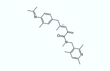 C=C(/C=C(\C)Cc1ccc(N=C(C)C)c(C)c1)C(=O)N(C)Cc1c(C)cc(C)nc1C